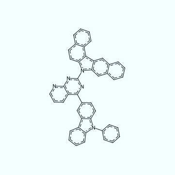 c1ccc(-n2c3ccccc3c3cc(-c4nc(-n5c6cc7ccccc7cc6c6c7ccccc7ccc65)nc5ncccc45)ccc32)cc1